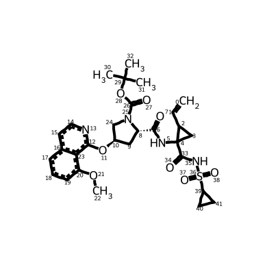 C=CC1CC1(NC(=O)[C@@H]1C[C@@H](Oc2nccc3cccc(OC)c23)CN1C(=O)OC(C)(C)C)C(=O)NS(=O)(=O)C1CC1